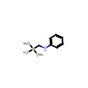 CO[Si](C)(CNc1ccccc1)OC